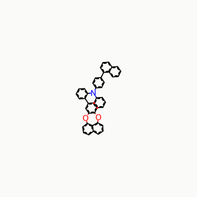 c1ccc(N(c2ccc(-c3cccc4ccccc34)cc2)c2ccccc2-c2ccc3c(c2)Oc2cccc4cccc(c24)O3)cc1